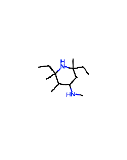 CCC1(C)CC(NC)C(C)C(C)(CC)N1